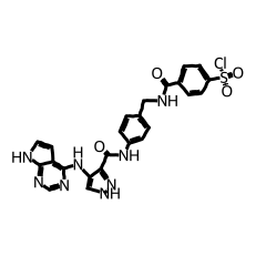 O=C(NCc1ccc(NC(=O)c2n[nH]cc2Nc2ncnc3[nH]ccc23)cc1)c1ccc(S(=O)(=O)Cl)cc1